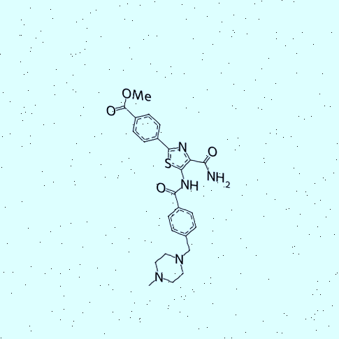 COC(=O)c1ccc(-c2nc(C(N)=O)c(NC(=O)c3ccc(CN4CCN(C)CC4)cc3)s2)cc1